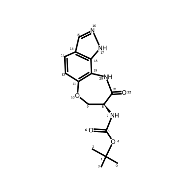 CC(C)(C)OC(=O)N[C@H]1COc2ccc3cn[nH]c3c2NC1=O